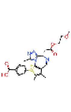 COCCOC(=O)C[C@@H]1N=CC2=C(n3c(C)nnc31)[SH](c1ccc(C(=O)O)cc1)C(C)=C2C